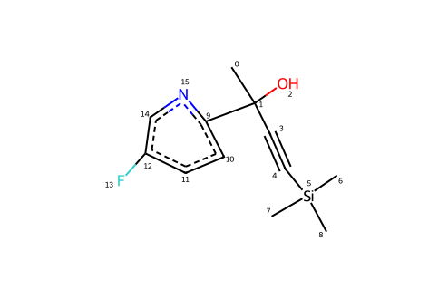 CC(O)(C#C[Si](C)(C)C)c1ccc(F)cn1